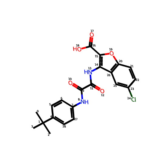 CC(C)(C)c1ccc(NC(=O)C(=O)Nc2c(C(=O)O)oc3ccc(Cl)cc23)cc1